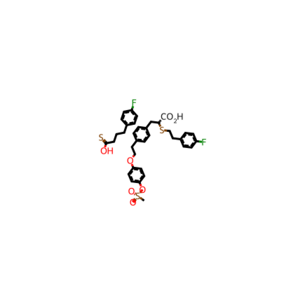 CS(=O)(=O)Oc1ccc(OCCc2ccc(CC(SCCc3ccc(F)cc3)C(=O)O)cc2)cc1.OC(=S)CCCc1ccc(F)cc1